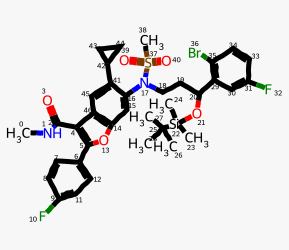 CNC(=O)c1c(-c2ccc(F)cc2)oc2cc(N(CCC(O[Si](C)(C)C(C)(C)C)c3cc(F)ccc3Br)S(C)(=O)=O)c(C3CC3)cc12